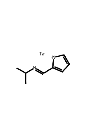 CC(C)N=CC1=CC=C[N]1.[Ta]